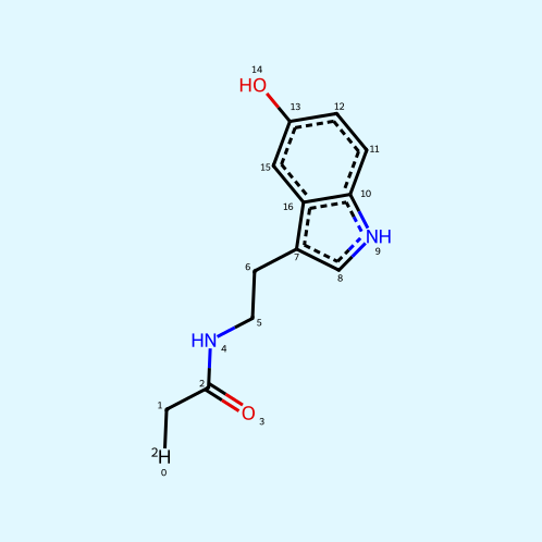 [2H]CC(=O)NCCc1c[nH]c2ccc(O)cc12